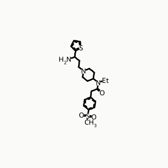 CCN(C(=O)Cc1ccc(S(C)(=O)=O)cc1)C1CCN(CCC(N)c2cccs2)CC1